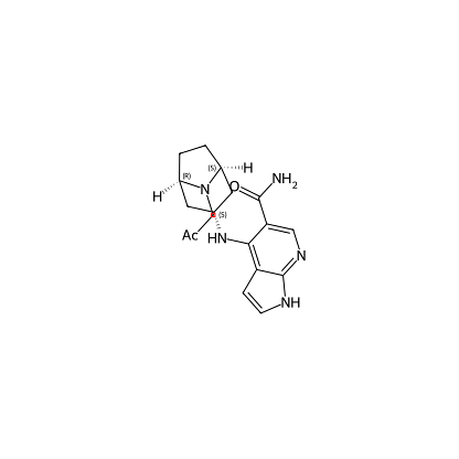 CC(=O)CN1[C@@H]2CC[C@H]1C[C@H](Nc1c(C(N)=O)cnc3[nH]ccc13)C2